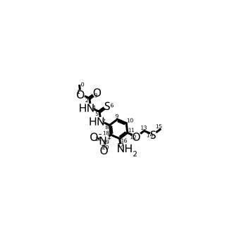 COC(=O)NC(=S)Nc1ccc(OCSC)c(N)c1[N+](=O)[O-]